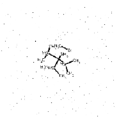 C[SiH](C)C([SiH3])([SiH](C)C)[SiH](C)C.[CH3][Zr]